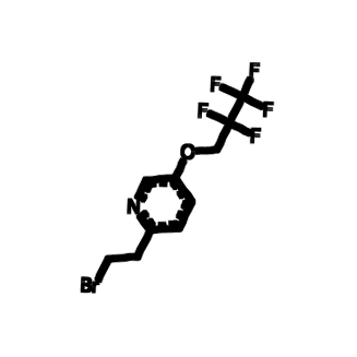 FC(F)(F)C(F)(F)COc1ccc(CCBr)nc1